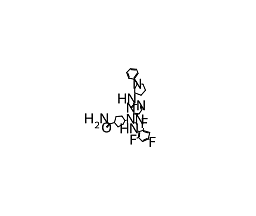 NC(=O)C1CCC(n2c(Nc3c(F)cc(F)cc3F)nc3cnc(NC4CCCN(c5ccccc5)C4)nc32)CC1